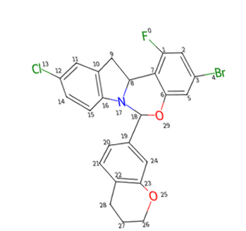 Fc1cc(Br)cc2c1C1Cc3cc(Cl)ccc3N1C(c1ccc3c(c1)OCCC3)O2